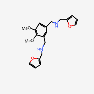 COc1cc(CNCc2ccco2)cc(CNCc2ccco2)c1OC